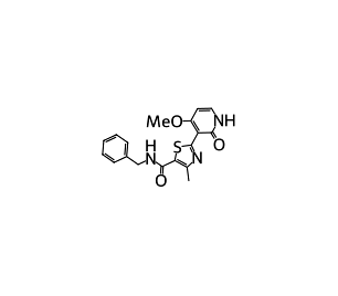 COc1cc[nH]c(=O)c1-c1nc(C)c(C(=O)NCc2ccccc2)s1